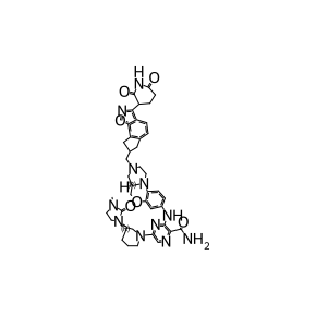 CN1CCN([C@@H]2CCCN(c3cnc(C(N)=O)c(Nc4ccc5c(c4)OC[C@H]4CN(CC6Cc7ccc8c(C9CCC(=O)NC9=O)noc8c7C6)CCN54)n3)C2)C1=O